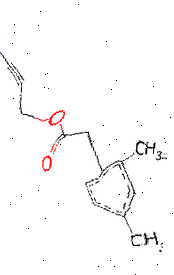 Cc1ccc(CC(=O)OCC#CI)c(C)c1